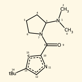 CN(C)C1CCCN1C(=O)c1ncc(C(C)(C)C)s1